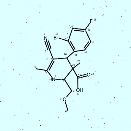 COCC1NC(C)=C(C#N)C(c2ccc(F)cc2Br)C1(C)C(=O)O